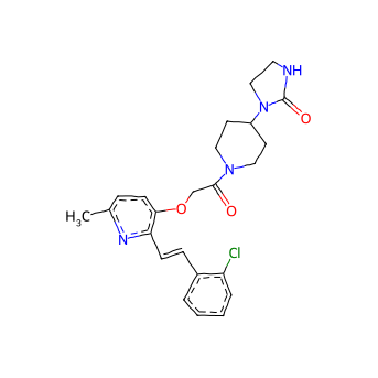 Cc1ccc(OCC(=O)N2CCC(N3CCNC3=O)CC2)c(/C=C/c2ccccc2Cl)n1